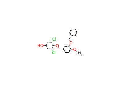 COc1ccc(COc2c(Cl)cc(O)cc2Cl)cc1OCc1ccccc1